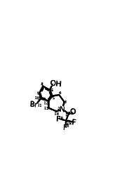 O=C(N1CCc2c(O)ccc(Br)c2CC1)C(F)(F)F